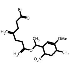 C=C(CCC(=C)OC(C)C1C=C(OC)C(C)CC1[N+](=O)[O-])CCC(=O)CC